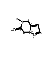 CN1Cc2ccnn2CC1=O